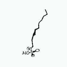 CCCCCCCCC[CH2][Sn][S](=O)(=O)O